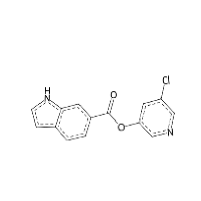 O=C(Oc1cncc(Cl)c1)c1ccc2cc[nH]c2c1